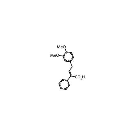 COc1ccc(C/C=C(\C(=O)O)c2ccccc2)cc1OC